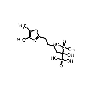 Cc1nc(CCCCC(O)(P(=O)(O)O)P(=O)(O)O)oc1C